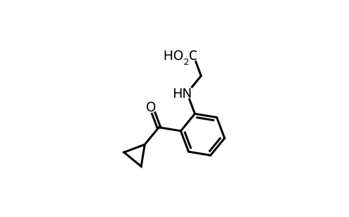 O=C(O)CNc1ccccc1C(=O)C1CC1